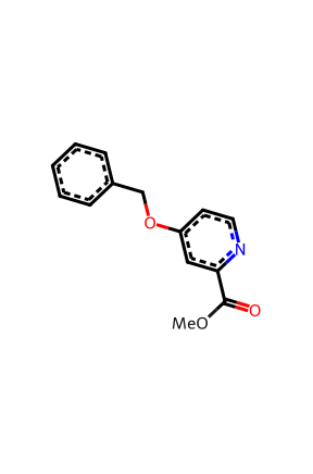 COC(=O)c1cc(OCc2ccccc2)ccn1